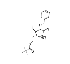 CCc1c(OCc2ccccc2)c(=O)ccn1CCOC(=O)C(C)(C)C.Cl